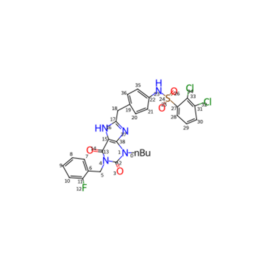 CCCCn1c(=O)n(Cc2ccccc2F)c(=O)c2[nH]c(Cc3ccc(NS(=O)(=O)c4cccc(Cl)c4Cl)cc3)nc21